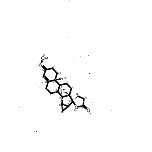 C[C@]12CCC3C(CCC4=C/C(=N/O)CC[C@@H]43)C1C1CC1[C@@]21CCC(=O)O1